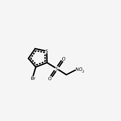 O=[N+]([O-])CS(=O)(=O)c1sccc1Br